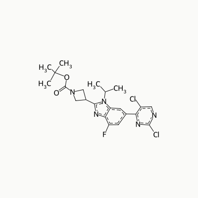 CC(C)n1c(C2CN(C(=O)OC(C)(C)C)C2)nc2c(F)cc(-c3nc(Cl)ncc3Cl)cc21